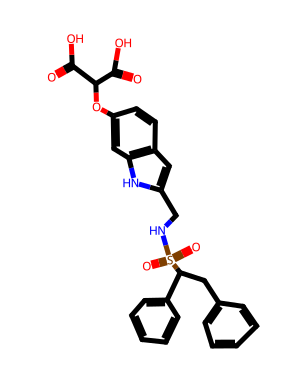 O=C(O)C(Oc1ccc2cc(CNS(=O)(=O)C(Cc3ccccc3)c3ccccc3)[nH]c2c1)C(=O)O